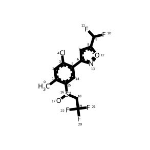 Cc1cc(Cl)c(-c2cc(C(F)F)on2)cc1[S+]([O-])CC(F)(F)F